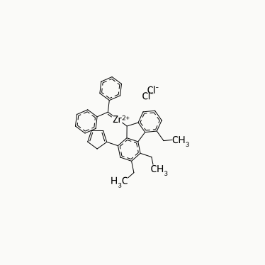 CCc1cc(C2=CC=CC2)c2c(c1CC)-c1c(CC)cccc1[CH]2[Zr+2]=[C](c1ccccc1)c1ccccc1.[Cl-].[Cl-]